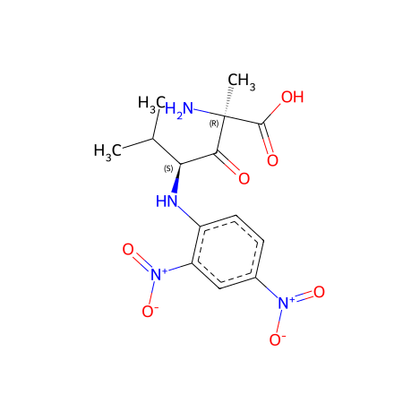 CC(C)[C@H](Nc1ccc([N+](=O)[O-])cc1[N+](=O)[O-])C(=O)[C@@](C)(N)C(=O)O